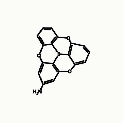 Nc1cc2c3c(c1)Oc1cccc4c1B3c1c(cccc1O2)O4